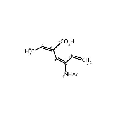 C=N/C(=C\C(=C/C)C(=O)O)NC(C)=O